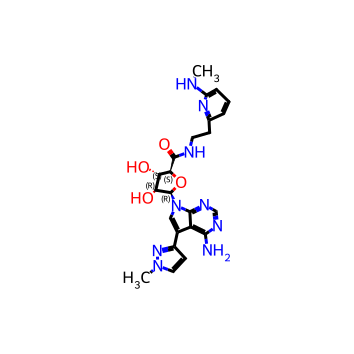 CNc1cccc(CCNC(=O)[C@H]2O[C@@H](n3cc(-c4ccn(C)n4)c4c(N)ncnc43)[C@H](O)[C@@H]2O)n1